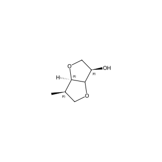 C[C@@H]1COC2[C@H](O)CO[C@@H]21